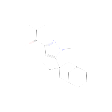 CCC1(c2cc(C(=O)C(C)C)nn2C)CC2CCCC(C2)C1